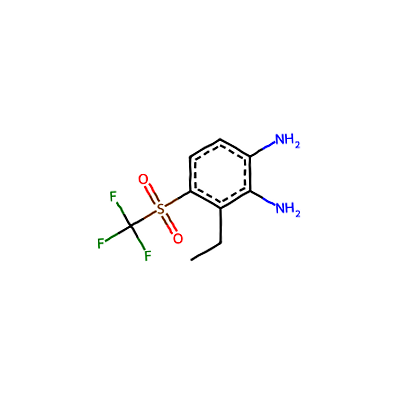 CCc1c(S(=O)(=O)C(F)(F)F)ccc(N)c1N